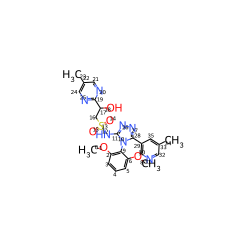 COc1cccc(OC)c1-n1c(NS(=O)(=O)CC(O)c2ncc(C)cn2)nnc1-c1cncc(C)c1